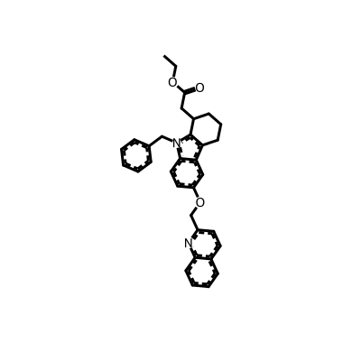 CCOC(=O)CC1CCCc2c1n(Cc1ccccc1)c1ccc(OCc3ccc4ccccc4n3)cc21